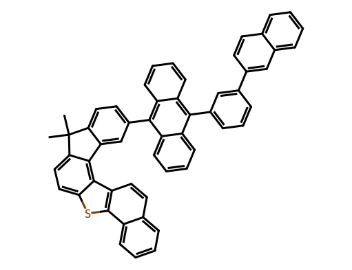 CC1(C)c2ccc(-c3c4ccccc4c(-c4cccc(-c5ccc6ccccc6c5)c4)c4ccccc34)cc2-c2c1ccc1sc3c4ccccc4ccc3c21